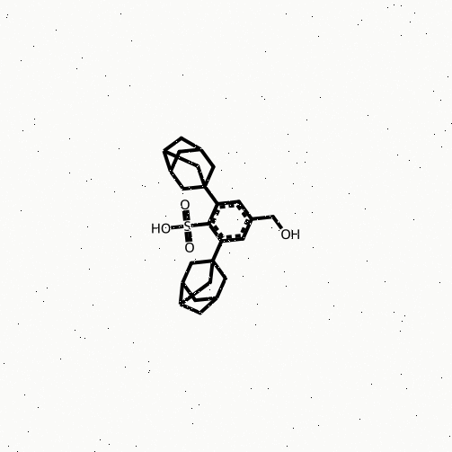 O=S(=O)(O)c1c(C23CC4CC(C2)C(C4)C3)cc(CO)cc1C12CC3CC(C1)C(C3)C2